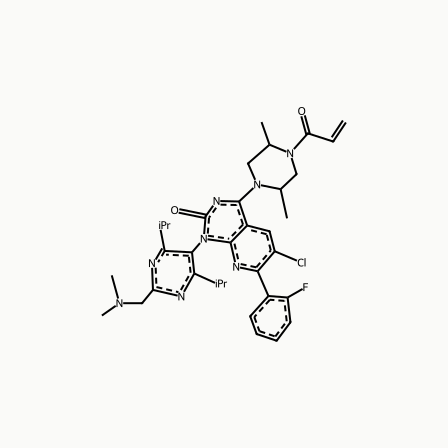 C=CC(=O)N1CC(C)N(c2nc(=O)n(-c3c(C(C)C)nc(CN(C)C)nc3C(C)C)c3nc(-c4ccccc4F)c(Cl)cc23)CC1C